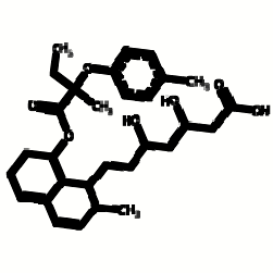 CCC(C)(Oc1ccc(C)cc1)C(=O)OC1CCC=C2C=CC(C)C(CCC(O)CC(O)CC(=O)O)C21